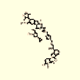 CCn1nc(C2CC2)cc1Nc1nc(C(=O)NCc2cn(CCCNc3cccc4c3CN(C3CCC(=O)NC3=O)C4=O)cn2)nc2[nH]c3cc(-c4c(C)noc4C)c(OC)cc3c12